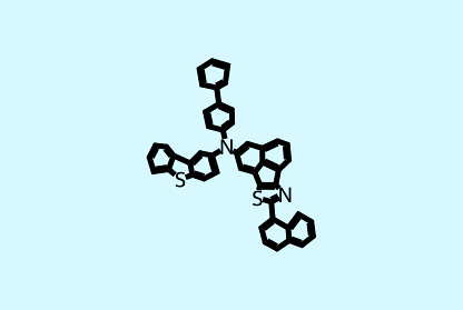 c1ccc(-c2ccc(N(c3cc4c5c(cccc5c3)-c3nc(-c5cccc6ccccc56)sc3-4)c3ccc4sc5ccccc5c4c3)cc2)cc1